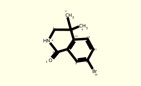 CC1(C)CNC(=O)c2cc(Br)ccc21